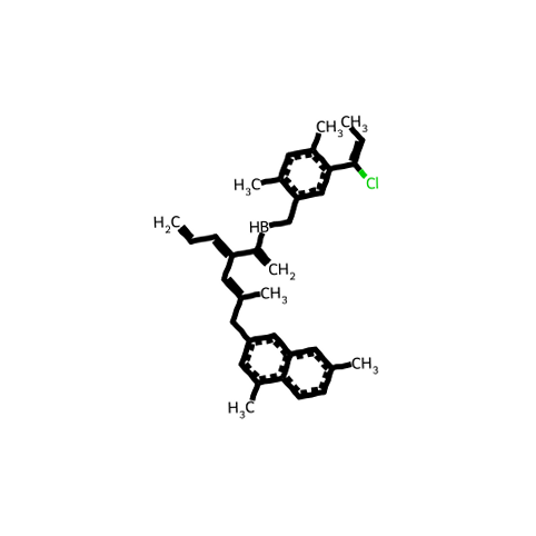 C=C/C=C(\C=C(/C)Cc1cc(C)c2ccc(C)cc2c1)C(=C)BCc1cc(/C(Cl)=C\C)c(C)cc1C